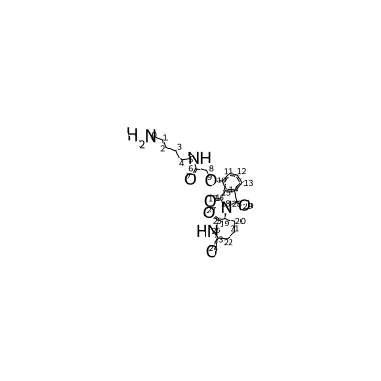 NCCCCNC(=O)COc1cccc2c1C(=O)N([C@H]1CCCC(=O)NC1=O)C2=O